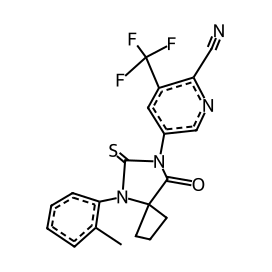 Cc1ccccc1N1C(=S)N(c2cnc(C#N)c(C(F)(F)F)c2)C(=O)C12CCC2